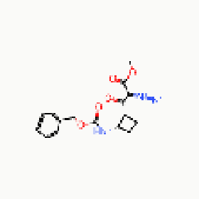 COC(=O)C(=[N+]=[N-])C(=O)[C@@H]1CC[C@@H]1NC(=O)OCc1ccccc1